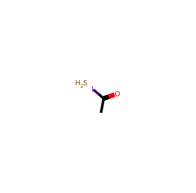 CC(=O)I.S